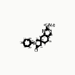 CSc1n[c]c2c(n1)CC1(CC2)CC(=O)N(c2ccccc2)C1